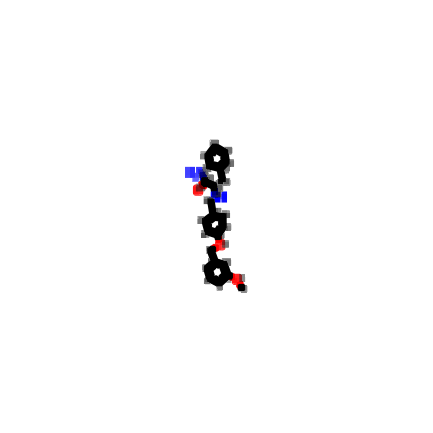 COc1cccc(COc2ccc(CN[C@@H](Cc3ccccc3)C(N)=O)cc2)c1